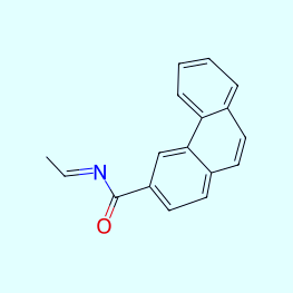 C/C=N/C(=O)c1ccc2ccc3ccccc3c2c1